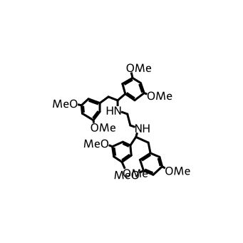 COc1cc(CC(NCCNC(Cc2cc(OC)cc(OC)c2)c2cc(OC)cc(OC)c2)c2cc(OC)cc(OC)c2)cc(OC)c1